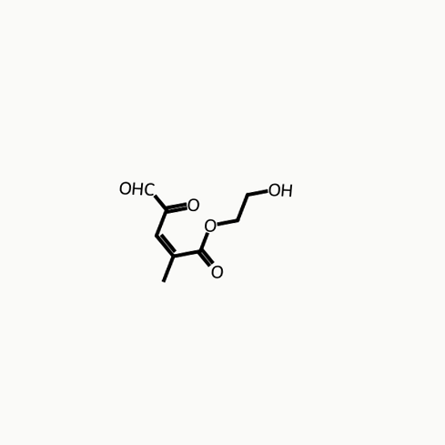 CC(=CC(=O)C=O)C(=O)OCCO